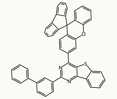 c1ccc(-c2cccc(-c3nc(-c4ccc5c(c4)Oc4ccccc4C54c5ccccc5-c5ccccc54)c4sc5ccccc5c4n3)c2)cc1